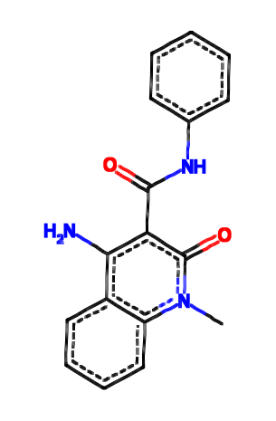 Cn1c(=O)c(C(=O)Nc2ccccc2)c(N)c2ccccc21